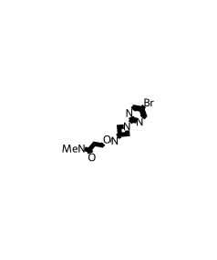 CNC(=O)CCON=C1CN(c2ncc(Br)cn2)C1